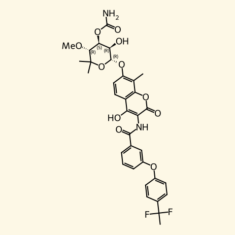 CO[C@@H]1[C@@H](OC(N)=O)[C@@H](O)[C@H](Oc2ccc3c(O)c(NC(=O)c4cccc(Oc5ccc(C(C)(F)F)cc5)c4)c(=O)oc3c2C)OC1(C)C